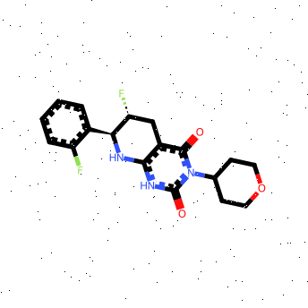 O=c1[nH]c2c(c(=O)n1C1CCOCC1)C[C@@H](F)[C@H](c1ccccc1F)N2